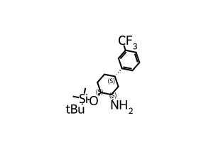 CC(C)(C)[Si](C)(C)O[C@H]1CC[C@H](c2cccc(C(F)(F)F)c2)C[C@@H]1N